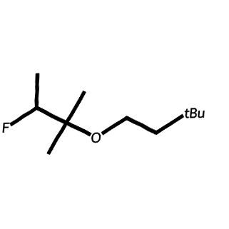 CC(F)C(C)(C)OCCC(C)(C)C